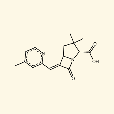 Cc1ccnc(/C=C2/C(=O)N3C2CC(C)(C)[C@@H]3C(=O)O)c1